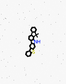 CC1(C)c2ccccc2-c2ccc3c([nH]c4cc5sc6ccccc6c5cc43)c21